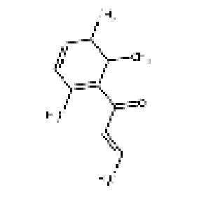 CC=CC(=O)C1=C(C)C=CC(C)C1C